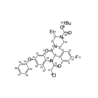 CCC1CN(C(=O)C(c2ccc(F)cc2)N(C(=O)CCl)c2ccc(Oc3ccccc3)cc2C)CCN1C(=O)OC(C)(C)C